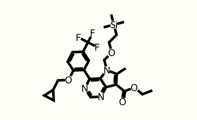 CCOC(=O)c1c(C)n(COCC[Si](C)(C)C)c2c(-c3cc(C(F)(F)F)ccc3OCC3CC3)ncnc12